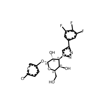 OC[C@H]1O[C@H](Oc2ccc(Cl)cc2)[C@H](O)[C@@H](n2cc(-c3cc(F)c(F)c(F)c3)nn2)[C@H]1O